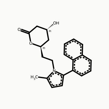 Cc1ccc(-c2cccc3ccccc23)n1CC[C@@H]1C[C@@H](O)CC(=O)O1